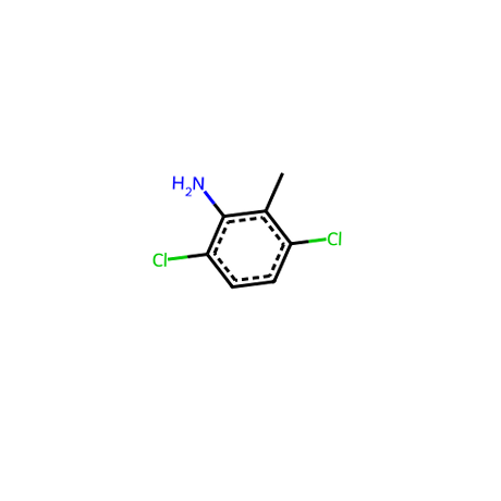 Cc1c(Cl)ccc(Cl)c1N